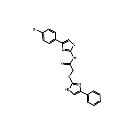 O=C(CSc1nc(-c2ccccc2)c[nH]1)Nc1nc(-c2ccc(Br)cc2)cs1